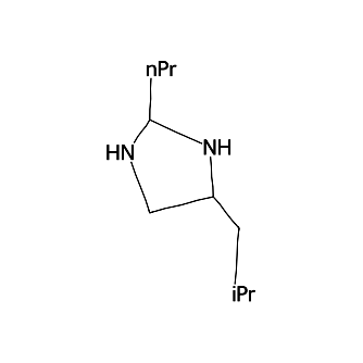 CCCC1NCC(CC(C)C)N1